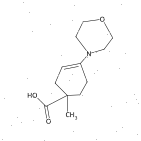 CC1(C(=O)O)CC=C(N2CCOCC2)CC1